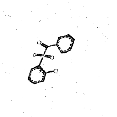 O=C(c1ccccc1)S(=O)(=O)c1ccccc1Cl